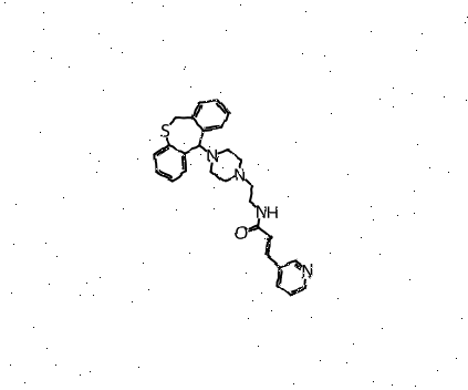 O=C(C=Cc1cccnc1)NCCN1CCN(C2c3ccccc3CSc3ccccc32)CC1